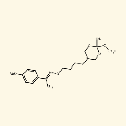 CSc1ccc(C(C)=NOCCCCC2COC(C)(OC(=O)O)OC2)cc1